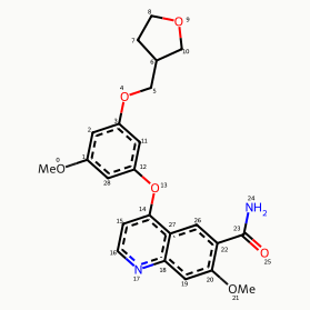 COc1cc(OCC2CCOC2)cc(Oc2ccnc3cc(OC)c(C(N)=O)cc23)c1